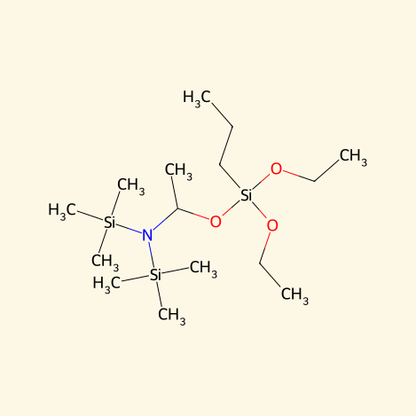 CCC[Si](OCC)(OCC)OC(C)N([Si](C)(C)C)[Si](C)(C)C